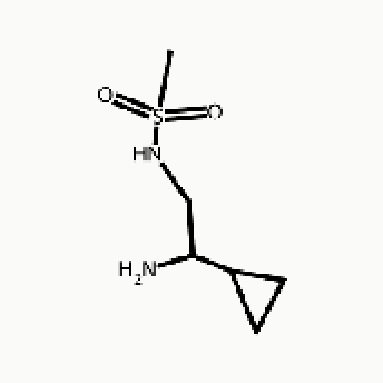 CS(=O)(=O)NCC(N)C1CC1